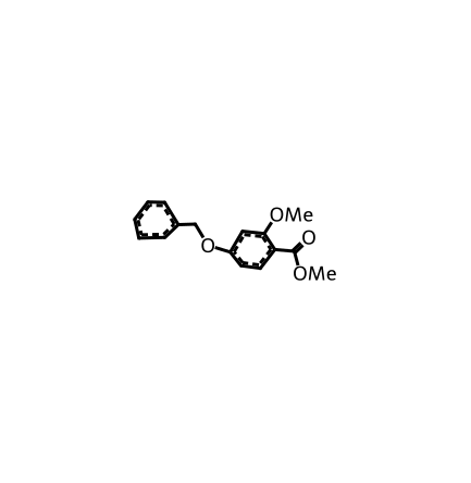 COC(=O)c1ccc(OCc2ccccc2)cc1OC